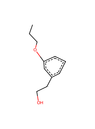 CCCOc1cccc([CH]CO)c1